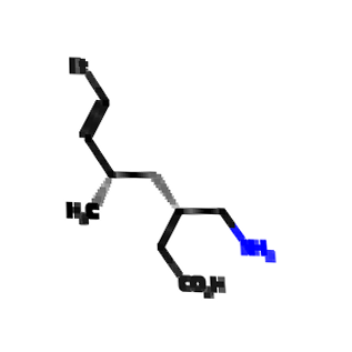 CC/C=C/[C@@H](C)C[C@H](CN)CC(=O)O